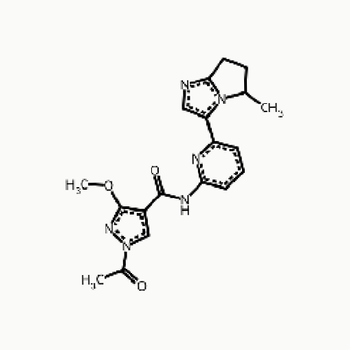 COc1nn(C(C)=O)cc1C(=O)Nc1cccc(-c2cnc3n2C(C)CC3)n1